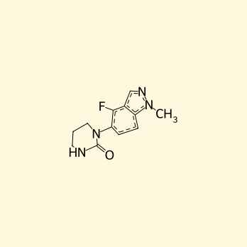 Cn1ncc2c(F)c(N3CCCNC3=O)ccc21